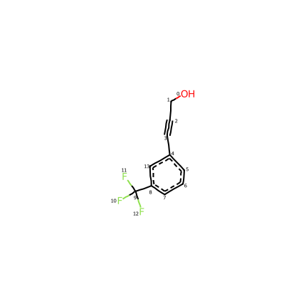 OCC#Cc1cccc(C(F)(F)F)c1